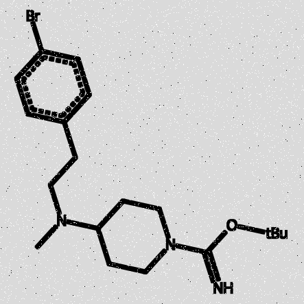 CN(CCc1ccc(Br)cc1)C1CCN(C(=N)OC(C)(C)C)CC1